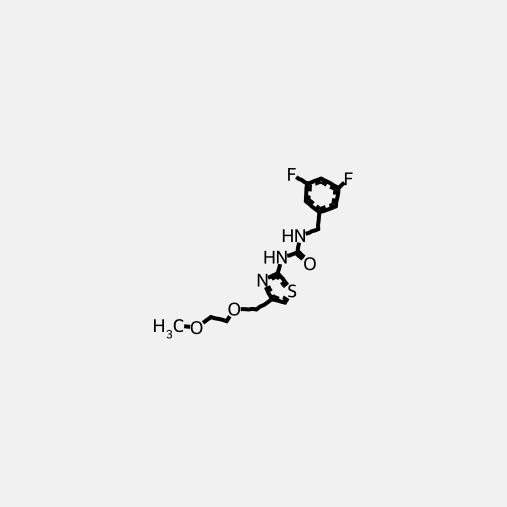 COCCOCc1csc(NC(=O)NCc2cc(F)cc(F)c2)n1